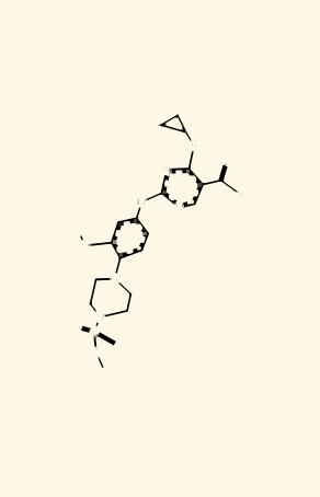 CCS(=O)(=O)N1CCN(c2ccc(Nc3ncc(C(N)=O)c(NC4CC4)n3)cc2OC)CC1